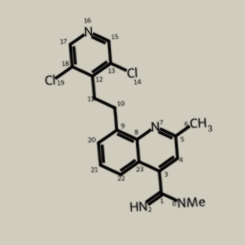 CNC(=N)c1cc(C)nc2c(CCc3c(Cl)cncc3Cl)cccc12